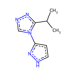 CC(C)c1nncn1-c1cc[nH]n1